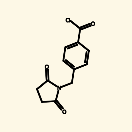 O=C(Cl)c1ccc(CN2C(=O)CCC2=O)cc1